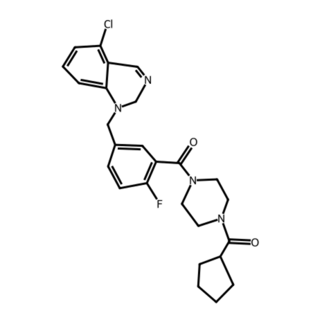 O=C(c1cc(CN2CN=Cc3c(Cl)cccc32)ccc1F)N1CCN(C(=O)C2CCCC2)CC1